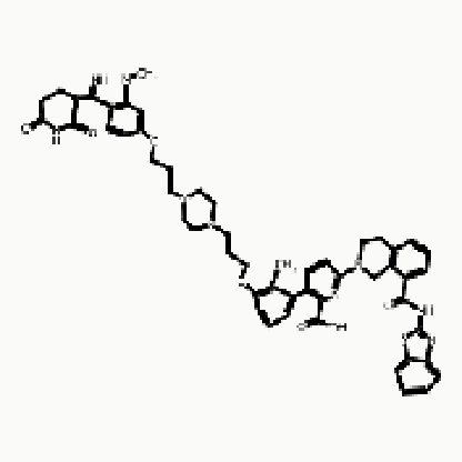 CNc1cc(OCCCN2CCN(CCCOc3cccc(-c4ccc(N5CCc6cccc(C(=O)Nc7nc8ccccc8s7)c6C5)nc4C(=O)O)c3C)CC2)ccc1C(=N)C1CCC(=O)NC1=O